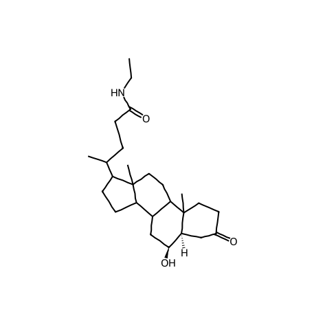 CCNC(=O)CCC(C)C1CCC2C3C[C@H](O)[C@@H]4CC(=O)CCC4(C)C3CCC12C